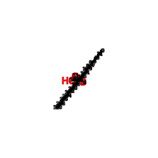 CCCCCCCCCCCCCCCC(=O)C(CCCCCCCCCCCCCC)C(=O)O